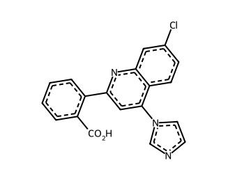 O=C(O)c1ccccc1-c1cc(-n2ccnc2)c2ccc(Cl)cc2n1